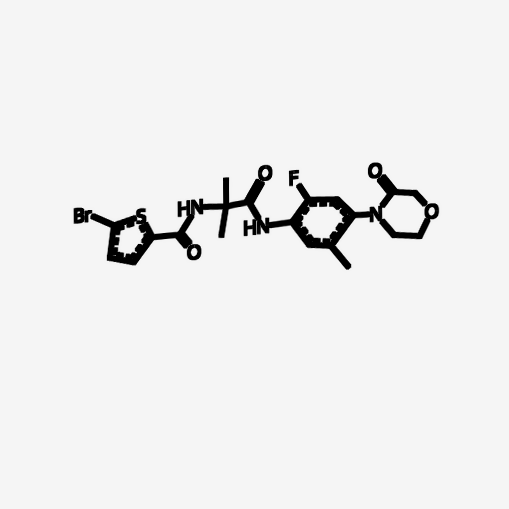 Cc1cc(NC(=O)C(C)(C)NC(=O)c2ccc(Br)s2)c(F)cc1N1CCOCC1=O